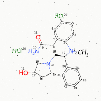 CN(c1ccccc1CC(N)=O)[C@H](CN1CC[C@H](O)C1)c1ccccc1.Cl.Cl